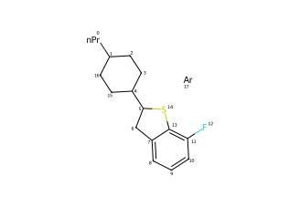 CCCC1CCC(C2Cc3cccc(F)c3S2)CC1.[Ar]